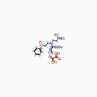 CCN(CC)CCN(CC[S+]([O-])c1ccccc1)C(=NC#N)SC.O=C(O)C(=O)O